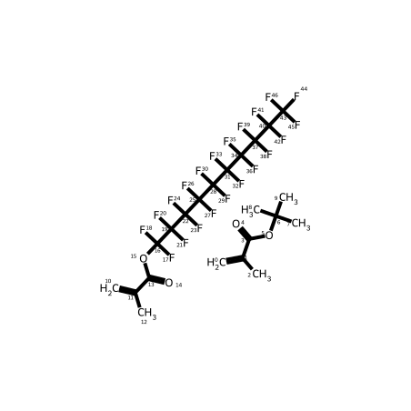 C=C(C)C(=O)OC(C)(C)C.C=C(C)C(=O)OC(F)(F)C(F)(F)C(F)(F)C(F)(F)C(F)(F)C(F)(F)C(F)(F)C(F)(F)C(F)(F)C(F)(F)F